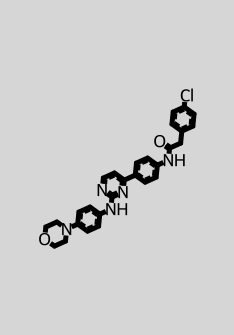 O=C(Cc1ccc(Cl)cc1)Nc1ccc(-c2ccnc(Nc3ccc(N4CCOCC4)cc3)n2)cc1